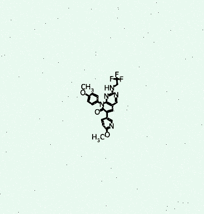 COc1ccc(-n2c(=O)c(-c3ccc(OC)nc3)cc3cnc(NCC(F)(F)F)nc32)cc1